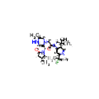 CCCC(C)(F)c1cc2c(cn1)C(C)(C)CN2C(=O)CN1C[C@@H](C)NC[C@@H]1CN1C[C@H](C)CC1=O